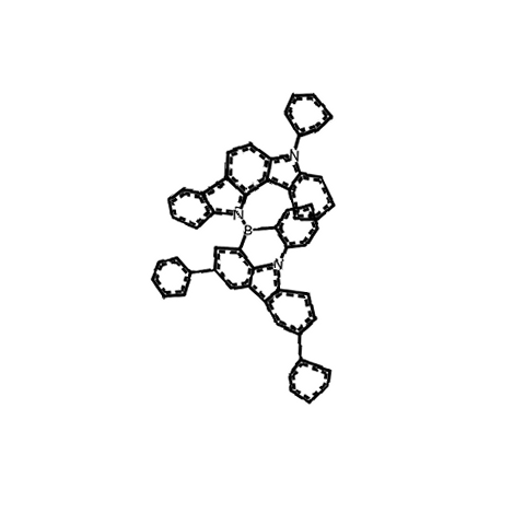 c1ccc(-c2ccc3c(c2)c2cc(-c4ccccc4)cc4c2n3-c2ccccc2B4n2c3ccccc3c3ccc4c(c5ccccc5n4-c4ccccc4)c32)cc1